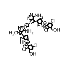 Cn1cc(-c2cccc(NS(=O)(=O)c3cc(Cl)cc(CO)c3Cl)c2F)c2c(N)[n+](N3CC(n4cc(-c5cccc(NS(=O)(=O)c6cc(Cl)cc(CO)c6Cl)c5F)c5c(N)ncnc54)C3)cnc21